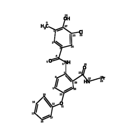 Cc1cc(C(=O)Nc2ccc(Oc3ccccc3)cc2C(=O)NC(C)C)cc(Cl)c1O